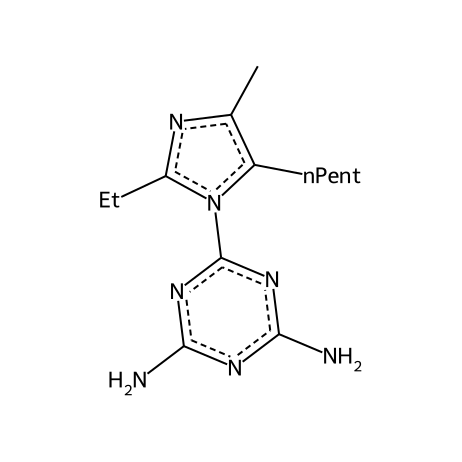 CCCCCc1c(C)nc(CC)n1-c1nc(N)nc(N)n1